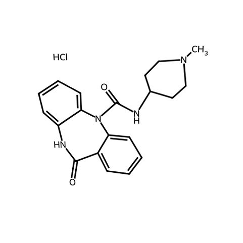 CN1CCC(NC(=O)N2c3ccccc3NC(=O)c3ccccc32)CC1.Cl